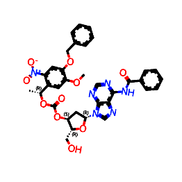 COc1cc([C@@H](C)OC(=O)O[C@H]2C[C@H](n3cnc4c(NC(=O)c5ccccc5)ncnc43)O[C@@H]2CO)c([N+](=O)[O-])cc1OCc1ccccc1